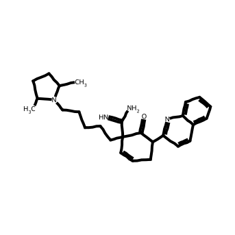 CC1CCC(C)N1CCCCCC1(C(=N)N)C=CCC(c2ccc3ccccc3n2)C1=O